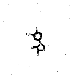 O=C1C(Cl)SCN1c1ccc(F)c(C(F)(F)F)c1